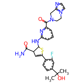 CC(C)(O)c1ccc(C2=CC(C(N)=O)C(Nc3cccc(C(=O)N4CCn5ccnc5C4)n3)S2)c(F)c1